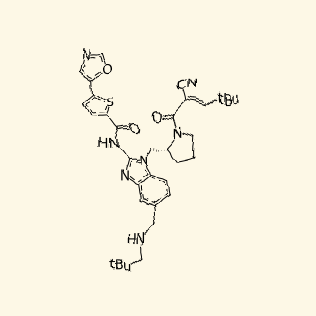 CC(C)(C)/C=C(\C#N)C(=O)N1CCC[C@@H]1Cn1c(NC(=O)c2ccc(-c3cnco3)s2)nc2cc(CNCC(C)(C)C)ccc21